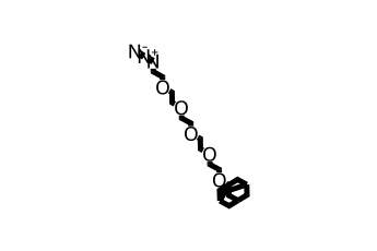 [N-]=[N+]=NCCOCCOCCOCCOCCOC12CC3CC(CC(C3)C1)C2